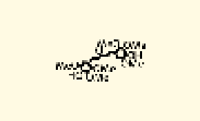 COc1cc(/C=C/C(=O)/C=C/c2cc(OC)c(O)c(OC)c2OC)c(OC)c(OC)c1O